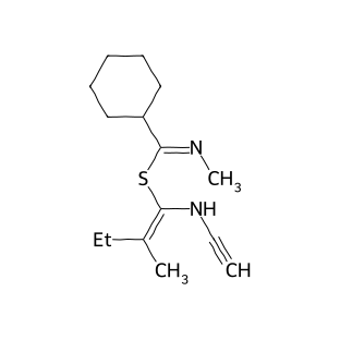 C#CN/C(S/C(=N\C)C1CCCCC1)=C(\C)CC